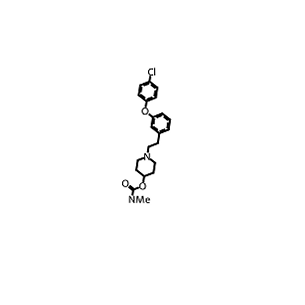 CNC(=O)OC1CCN(CCc2cccc(Oc3ccc(Cl)cc3)c2)CC1